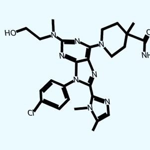 Cc1cnc(-c2nc3c(N4CCC(C)(C(N)=O)CC4)nc(N(C)CCO)nc3n2-c2ccc(Cl)cc2)n1C